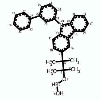 CC(C)(OBO)C(C)(C)c1ccc2c(c1)c1ccccc1n2-c1cccc(-c2ccccc2)c1